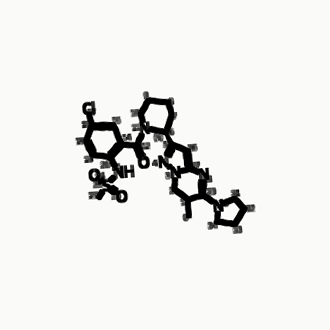 CC1Cn2nc([C@@H]3CCCCN3C(=O)c3cc(Cl)ccc3NS(C)(=O)=O)cc2N=C1N1CCCC1